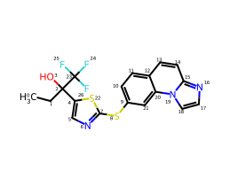 CCC(O)(c1cnc(Sc2ccc3ccc4nccn4c3c2)s1)C(F)(F)F